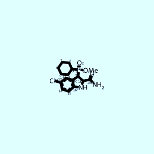 COP(=O)(C1CCCCC1)C1c2cc(Cl)ccc2NC1C(N)=O